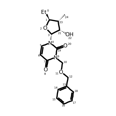 CC[C@@H]1O[C@@H](n2ccc(=O)n(COCc3ccccc3)c2=O)[C@@H](O)[C@H]1C